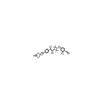 COc1cc(OC2C(C)(C)C(NC(=O)c3ccc(N4CC5(CCNCC5)C4)cc3)C2(C)C)ccc1C#N